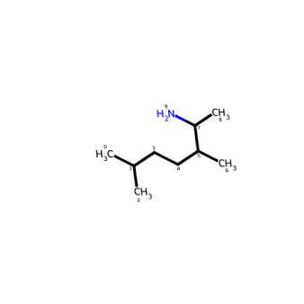 CC(C)CCC(C)C(C)N